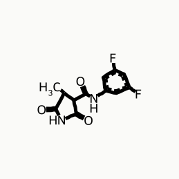 CC1C(=O)NC(=O)C1C(=O)Nc1cc(F)cc(F)c1